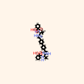 CC(C)(C)[C@H](NC(=O)C1(C(=O)O)CCCCC1)c1nc(-c2ccc(-c3ccc(-c4c[nH]c([C@@H](NC(=O)C5(C(=O)O)CCCCC5)C(C)(C)C)n4)cc3)cc2)c[nH]1